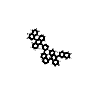 c1cc(-c2ccc3cccc(-c4c5ccccc5c(-c5ccc6ccccc6c5)c5ccccc45)c3c2)cc(-c2c3ccccc3c(-c3cccc4ccccc34)c3ccccc23)c1